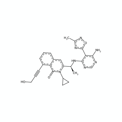 Cc1noc(-c2c(N)ncnc2N[C@@H](C)c2cc3cccc(C#CCO)c3c(=O)n2C2CC2)n1